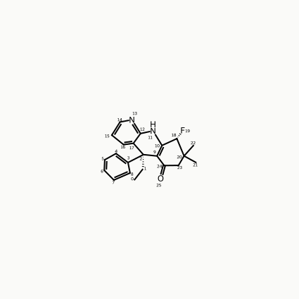 CC[C@@]1(c2ccccc2)C2=C(Nc3ncccc31)[C@H](F)C(C)(C)CC2=O